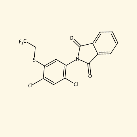 O=C1c2ccccc2C(=O)N1c1cc(SCC(F)(F)F)c(Cl)cc1Cl